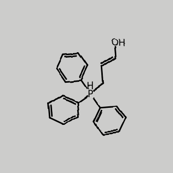 O/C=C/C[PH](c1ccccc1)(c1ccccc1)c1ccccc1